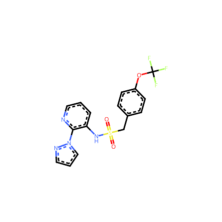 O=S(=O)(Cc1ccc(OC(F)(F)F)cc1)Nc1cccnc1-n1cccn1